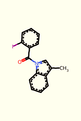 Cc1cn(C(=O)c2ccccc2I)c2ccccc12